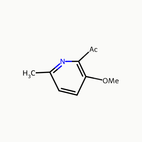 COc1ccc(C)nc1C(C)=O